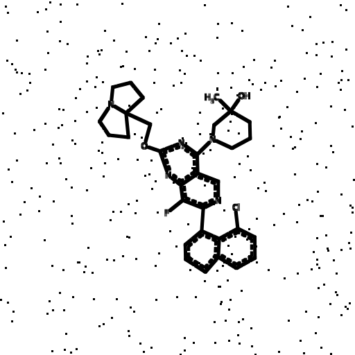 CC1(O)CCCN(c2nc(OCC34CCCN3CCC4)nc3c(F)c(-c4cccc5cccc(Cl)c45)ncc23)C1